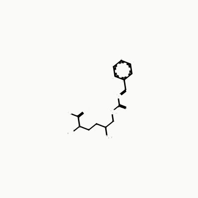 CCCCC(CCC(CCC)C(N)=O)CNC(=O)/N=C/c1ccccc1